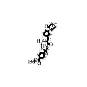 CN1CCN(c2cccc(C[C@H](N)C(=O)NCC(C)(C)c3ccc(C(=O)OC(C)(C)C)cc3)c2)C(=O)C1